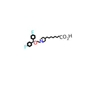 O=C(O)CCCCCCCC1CCN(CCOC(c2ccc(F)cc2)c2ccc(F)cc2)CC1